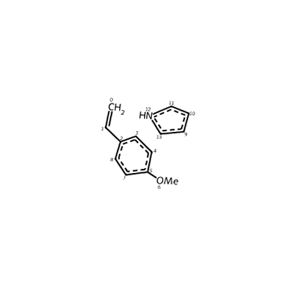 C=Cc1ccc(OC)cc1.c1cc[nH]c1